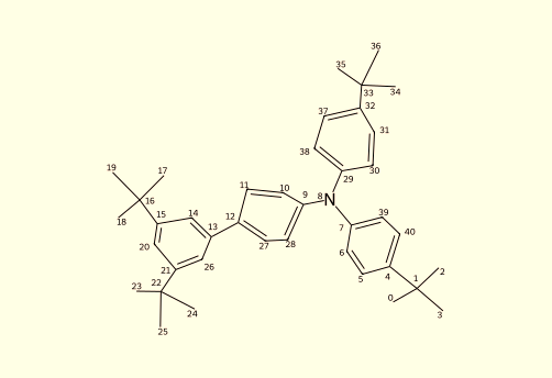 CC(C)(C)c1ccc(N(c2ccc(-c3cc(C(C)(C)C)cc(C(C)(C)C)c3)cc2)c2ccc(C(C)(C)C)cc2)cc1